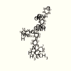 CC(C)(C)c1ccccc1C1CCCN1c1ccc(-c2ccc(C(=O)NS(=O)(=O)c3ccc(NCC4CCOCC4)c([N+](=O)[O-])c3)c(Oc3cnc4[nH]ccc4c3)c2)cc1